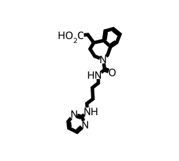 O=C(O)CC1CCN(C(=O)NCCCCNc2ncccn2)Cc2ccccc21